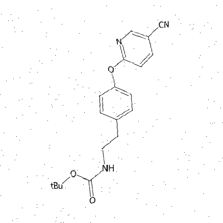 CC(C)(C)OC(=O)NCCc1ccc(Oc2ccc(C#N)cn2)cc1